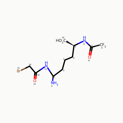 NC(CCC[C@H](NC(=O)C(F)(F)F)C(=O)O)NC(=O)CBr